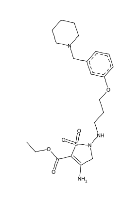 CCOC(=O)C1=C(N)CN(NCCCOc2cccc(CN3CCCCC3)c2)S1(=O)=O